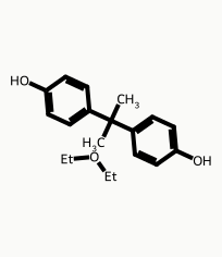 CC(C)(c1ccc(O)cc1)c1ccc(O)cc1.CCOCC